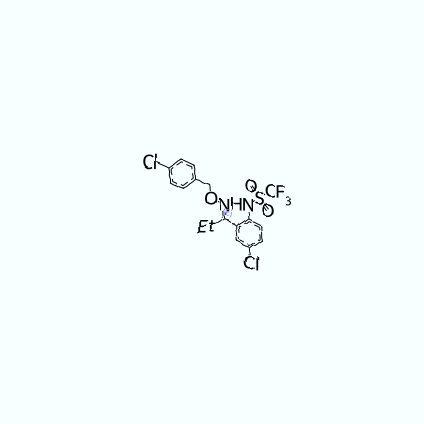 CC/C(=N\OCc1ccc(Cl)cc1)c1cc(Cl)ccc1NS(=O)(=O)C(F)(F)F